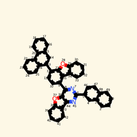 c1ccc2cc(-c3nc(-c4ccc(-c5cc6ccccc6c6ccccc56)c5oc6ccccc6c45)c4oc5ccccc5c4n3)ccc2c1